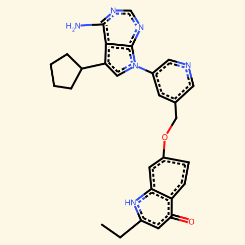 CCc1cc(=O)c2ccc(OCc3cncc(-n4cc(C5CCCC5)c5c(N)ncnc54)c3)cc2[nH]1